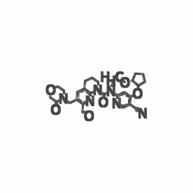 CO[C@@H]1CCC[C@H]1Oc1cc(NC(=O)N2CCCc3cc(CN4CCOCC4=O)c(C=O)nc32)ncc1C#N